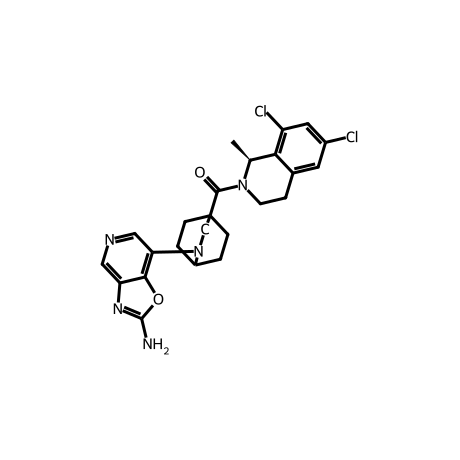 C[C@H]1c2c(Cl)cc(Cl)cc2CCN1C(=O)C12CCC(CC1)N(c1cncc3nc(N)oc13)C2